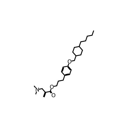 C=C(CN(C)C)C(=O)OCCCc1ccc(OCC2CCC(CCCCC)CC2)cc1